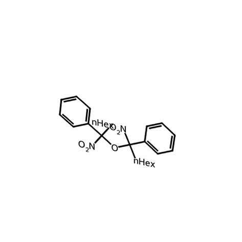 CCCCCCC(OC(CCCCCC)(c1ccccc1)[N+](=O)[O-])(c1ccccc1)[N+](=O)[O-]